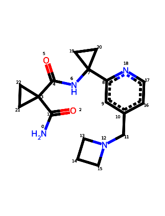 NC(=O)C1(C(=O)NC2(c3cc(CN4CCC4)ccn3)CC2)CC1